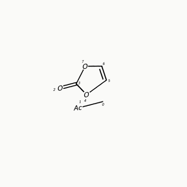 CC(C)=O.O=c1occo1